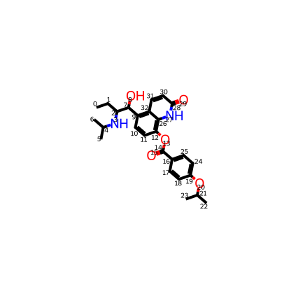 CCC(NC(C)C)C(O)c1ccc(OC(=O)c2ccc(OC(C)C)cc2)c2[nH]c(=O)ccc12